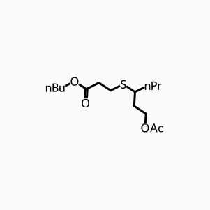 CCCCOC(=O)CCSC(CCC)CCOC(C)=O